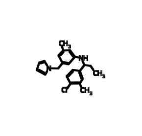 CCC(Nc1cc(C)cc(Cn2cccc2)c1)c1ccc(Cl)c(C)c1